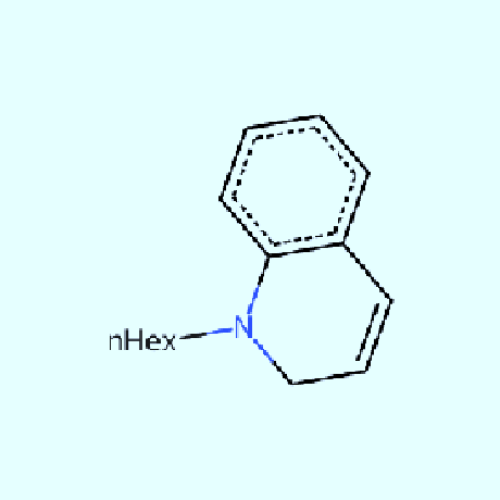 CCCCCCN1CC=Cc2ccccc21